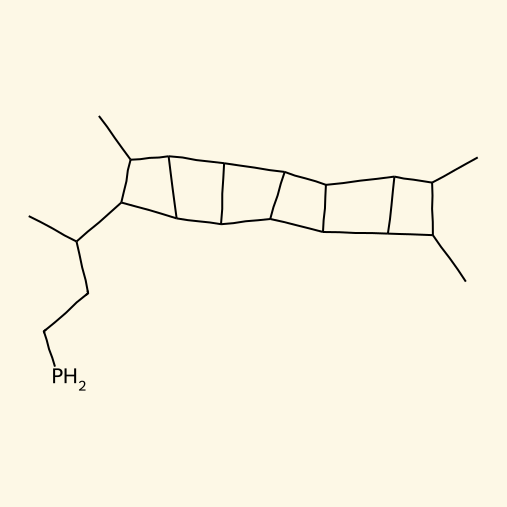 CC(CCP)C1C(C)C2C1C1C2C2C3C4C(C)C(C)C4C3C12